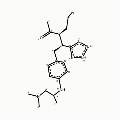 CCC[C@H](C(C)=O)[C@H](Cc1ccc(NC(C)CN(C)C)cc1)c1nn[nH]n1